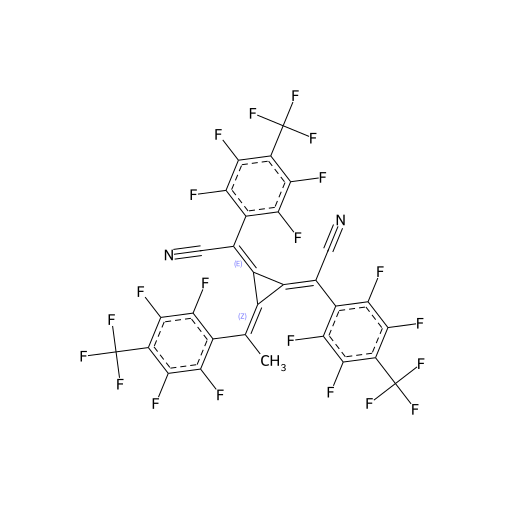 C/C(=C1\C(=C(C#N)c2c(F)c(F)c(C(F)(F)F)c(F)c2F)\C1=C(\C#N)c1c(F)c(F)c(C(F)(F)F)c(F)c1F)c1c(F)c(F)c(C(F)(F)F)c(F)c1F